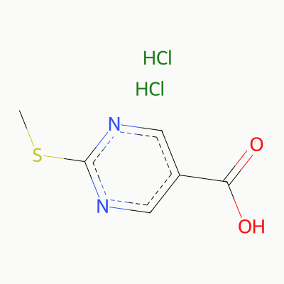 CSc1ncc(C(=O)O)cn1.Cl.Cl